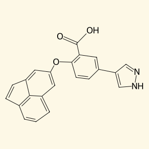 O=C(O)c1cc(-c2cn[nH]c2)ccc1Oc1cc2c3c(cccc3c1)C=C2